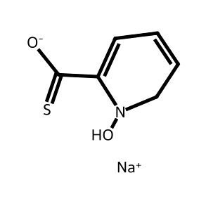 [Na+].[O-]C(=S)C1=CC=CCN1O